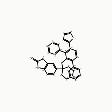 O=C1[N]c2cc(C3(Cc4c(-c5ccccc5)ccc(-c5cccs5)c4-c4cnccn4)CCNCC3)ccc2N1